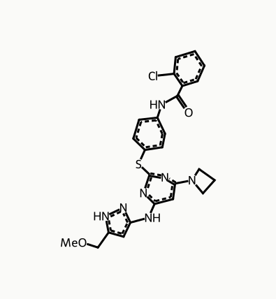 COCc1cc(Nc2cc(N3CCC3)nc(Sc3ccc(NC(=O)c4ccccc4Cl)cc3)n2)n[nH]1